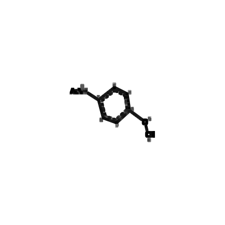 CC(=O)Nc1ccc(OC#N)cc1